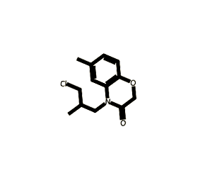 Cc1ccc2c(c1)N(CC(C)CCl)C(=O)CO2